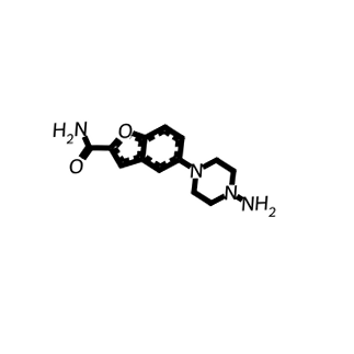 NC(=O)c1cc2cc(N3CCN(N)CC3)ccc2o1